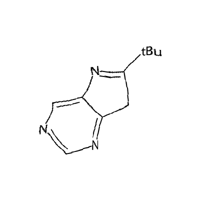 CC(C)(C)C1=Nc2cncnc2C1